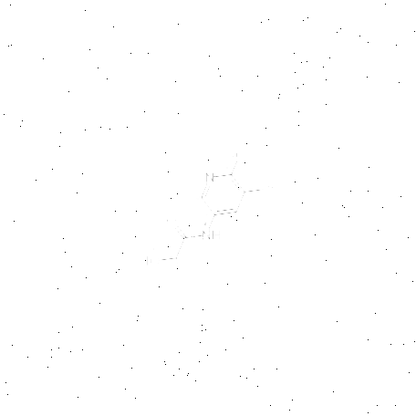 O=C(CO)Nc1cnc(Cl)c(Br)c1